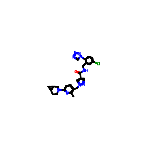 Cc1nc(N2CCC3CC3C2)ccc1Cn1cc(C(=O)NCc2cc(Cl)ccc2-n2cnnn2)cn1